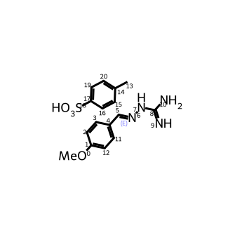 COc1ccc(/C=N/NC(=N)N)cc1.Cc1ccc(S(=O)(=O)O)cc1